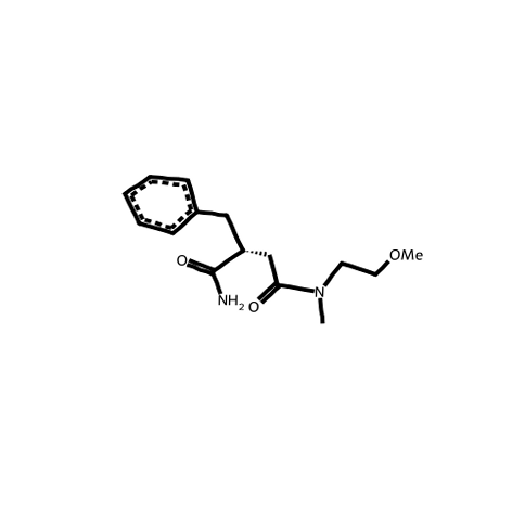 COCCN(C)C(=O)C[C@@H](Cc1ccccc1)C(N)=O